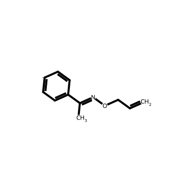 C=CCON=C(C)c1cc[c]cc1